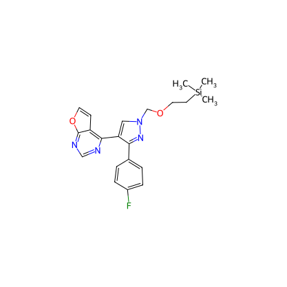 C[Si](C)(C)CCOCn1cc(-c2ncnc3occc23)c(-c2ccc(F)cc2)n1